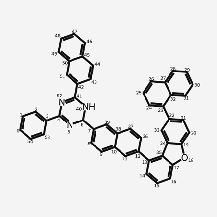 c1ccc(C2=NC(c3ccc4cc(-c5cccc6oc7ccc(-c8cccc9ccccc89)cc7c56)ccc4c3)NC(c3ccc4ccccc4c3)=N2)cc1